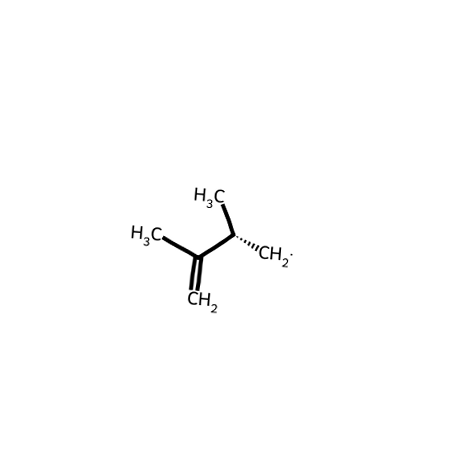 [CH2][C@@H](C)C(=C)C